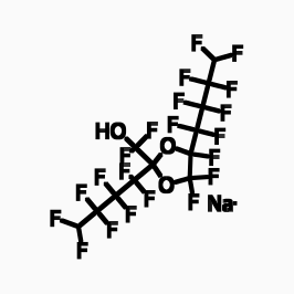 OC(F)(F)C1(C(F)(F)C(F)(F)C(F)(F)C(F)F)OC(F)(F)C(F)(C(F)(F)C(F)(F)C(F)(F)C(F)F)O1.[Na]